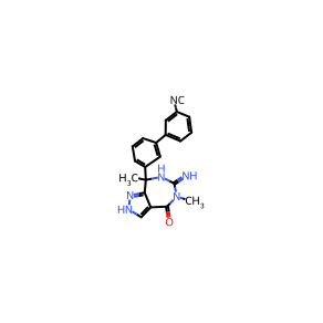 [C-]#[N+]c1cccc(-c2cccc(C3(C)NC(=N)N(C)C(=O)c4c[nH]nc43)c2)c1